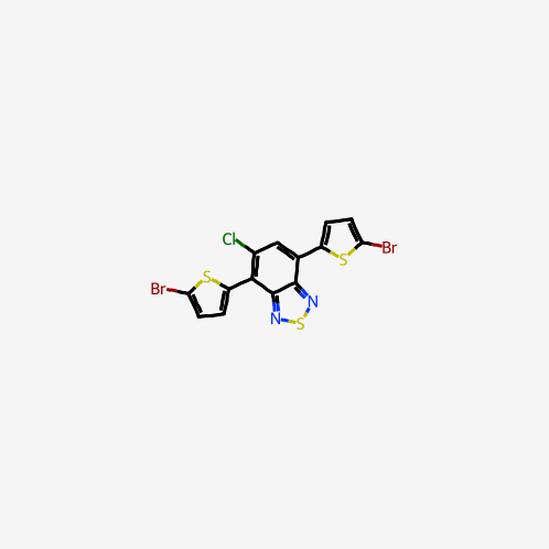 Clc1cc(-c2ccc(Br)s2)c2nsnc2c1-c1ccc(Br)s1